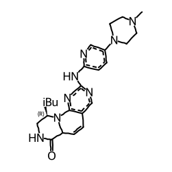 CCC(C)[C@@H]1CNC(=O)C2C=Cc3cnc(Nc4ccc(N5CCN(C)CC5)cn4)nc3N21